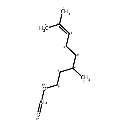 CC(C)=CCCC(C)CC[O][Al]=[O]